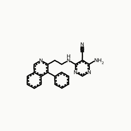 N#Cc1c(N)ncnc1NCCc1ncc2ccccc2c1-c1ccccc1